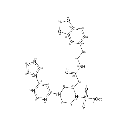 CCCCCCCCS(=O)(=O)N1CCN(c2cc(-n3ccnc3)ncn2)CC1CC(=O)NCCc1ccc2c(c1)OCO2